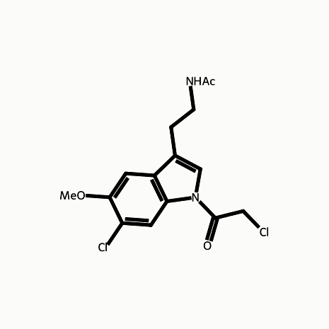 COc1cc2c(CCNC(C)=O)cn(C(=O)CCl)c2cc1Cl